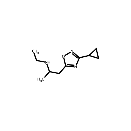 CCNC(C)Cc1nc(C2CC2)no1